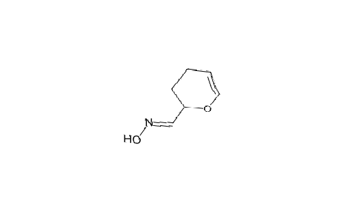 ON=CC1CCC=CO1